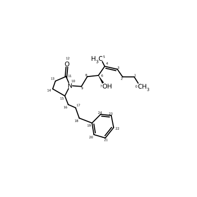 CCC/C=C(/C)[C@@H](O)CCN1C(=O)CCC1CCCc1ccccc1